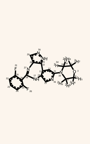 [2H]C1([2H])OC([2H])([2H])C([2H])([2H])N(c2cc3c(cn2)NC(c2c(F)cccc2F)=Nc2cn[nH]c2-3)C1([2H])[2H]